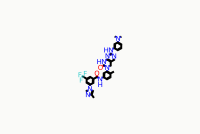 Cc1cn(-c2cc(C(=O)Nc3ccc(C)c(N4Cc5cnc(Nc6cccc(N(C)C)c6)nc5NC4=O)c3)cc(C(F)(F)F)c2)cn1